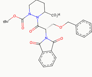 CC(C)(C)OC(=O)N1CCCC(C(=O)O)N1C(=O)[C@H](COCc1ccccc1)N1C(=O)c2ccccc2C1=O